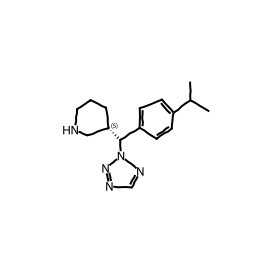 CC(C)c1ccc(C([C@H]2CCCNC2)n2ncnn2)cc1